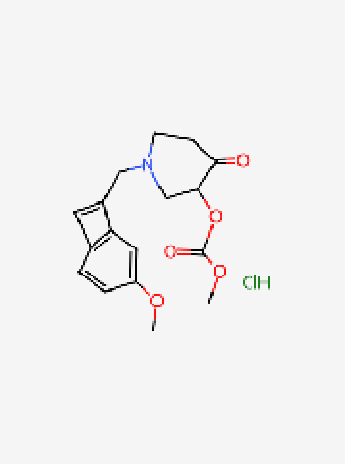 COC(=O)OC1CN(CC2=Cc3ccc(OC)cc32)CCC1=O.Cl